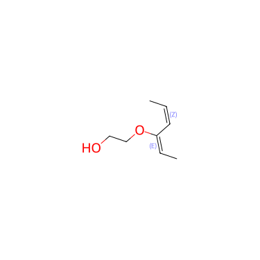 C/C=C\C(=C/C)OCCO